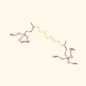 CCCO[Si](CCC(C)SSSSSSSSC(C)CC[Si](OCCC)(OCCC)OCCC)(OCCC)OCCC